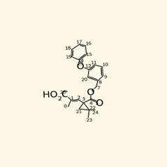 C/C(=C\C1(C(=O)OCc2cccc(Oc3ccccc3)c2)CC1(C)C)C(=O)O